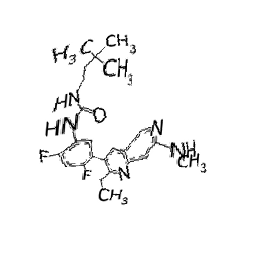 CCc1nc2cc(NC)ncc2cc1-c1cc(NC(=O)NCCC(C)(C)C)c(F)cc1F